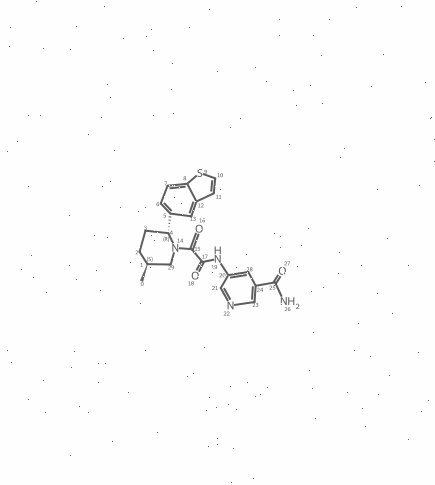 C[C@H]1CC[C@H](c2ccc3sccc3c2)N(C(=O)C(=O)Nc2cncc(C(N)=O)c2)C1